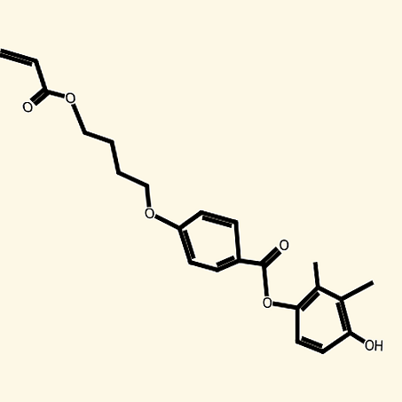 C=CC(=O)OCCCCOc1ccc(C(=O)Oc2ccc(O)c(C)c2C)cc1